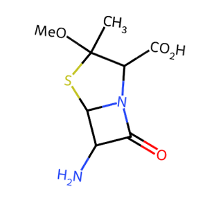 COC1(C)SC2C(N)C(=O)N2C1C(=O)O